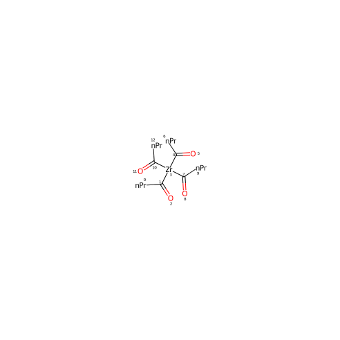 CCC[C](=O)[Zr]([C](=O)CCC)([C](=O)CCC)[C](=O)CCC